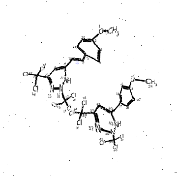 COc1ccc(/C=C/C2=CC(C(Cl)(Cl)Cl)=NN(C(Cl)(Cl)Cl)N2)cc1.COc1ccc(C2=CC(C(Cl)(Cl)Cl)=NN(C(Cl)(Cl)Cl)N2)cc1